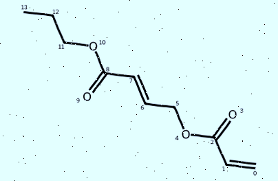 C=CC(=O)OCC=CC(=O)OCCC